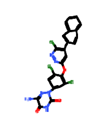 Nc1nn(-c2cc(Cl)c(Oc3cc(-c4ccc5ccccc5c4)c(Cl)nn3)c(Cl)c2)c(=O)[nH]c1=O